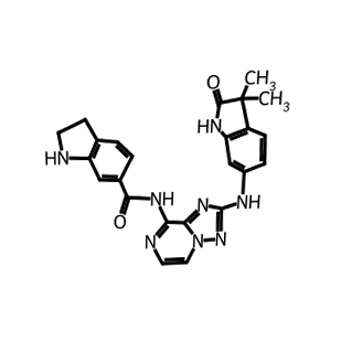 CC1(C)C(=O)Nc2cc(Nc3nc4c(NC(=O)c5ccc6c(c5)NCC6)nccn4n3)ccc21